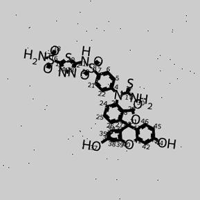 NC(=S)N(c1ccc(S(=O)(=O)Nc2nnc(S(N)(=O)=O)s2)cc1)c1cccc2c1C(=O)OC21c2ccc(O)cc2Oc2cc(O)ccc21